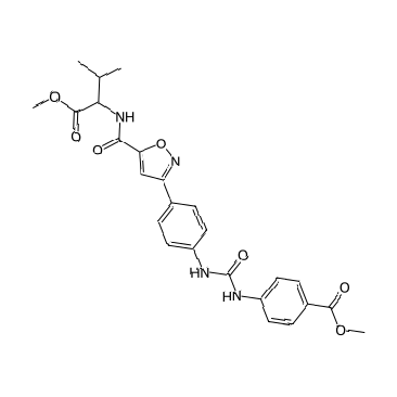 COC(=O)c1ccc(NC(=O)Nc2ccc(-c3cc(C(=O)NC(C(=O)OC)C(C)C)on3)cc2)cc1